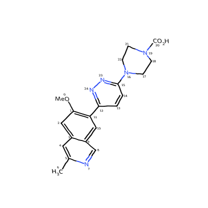 COc1cc2cc(C)ncc2cc1-c1ccc(N2CCN(C(=O)O)CC2)nn1